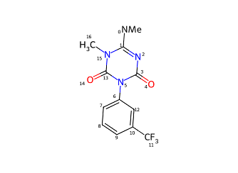 CNc1nc(=O)n(-c2cccc(C(F)(F)F)c2)c(=O)n1C